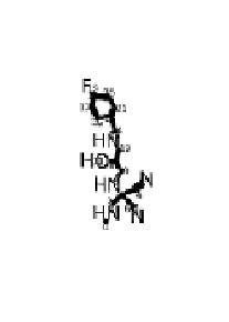 CNCC(C#N)(C#N)NCC(O)CNCc1ccc(F)cc1